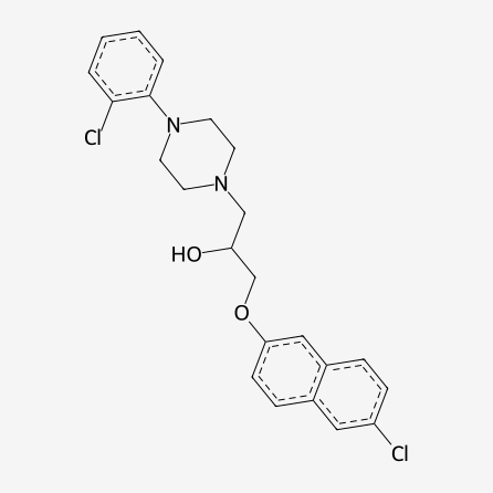 OC(COc1ccc2cc(Cl)ccc2c1)CN1CCN(c2ccccc2Cl)CC1